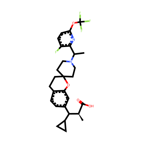 CC(c1nc(OC(F)(F)F)ccc1F)N1CCC2(CCc3ccc(C(C4CC4)[C@H](C)C(=O)O)cc3O2)CC1